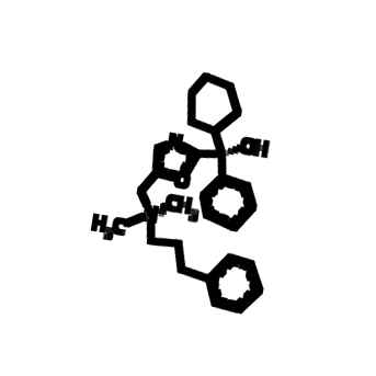 C[N+](C)(CCCc1ccccc1)Cc1cnc([C@](O)(c2ccccc2)C2CCCCC2)o1